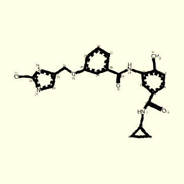 Cc1ccc(C(=O)NC2CC2)cc1NC(=O)c1cccc(OCc2cnc(Cl)s2)c1